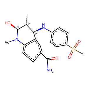 CC(=O)N1c2ccc(C(N)=O)cc2[C@H](Nc2ccc(S(C)(=O)=O)cc2)[C@@H](C)[C@@H]1O